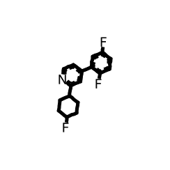 Fc1ccc(F)c(-c2ccnc(C3CCC(F)CC3)c2)c1